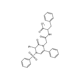 CC(C)C1C(=O)N(CC(=O)NC(Cc2ccccc2)C(=O)C(F)(F)F)C(c2ccccc2)=CN1S(=O)(=O)c1ccccc1